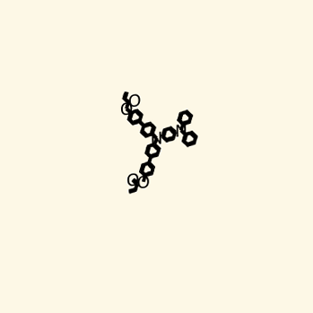 C=CC(=O)Oc1ccc(-c2ccc(N(c3ccc(-c4ccc(OC(=O)C=C)cc4)cc3)c3ccc(N(c4ccccc4)c4ccccc4)cc3)cc2)cc1